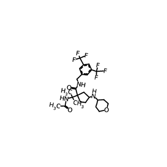 CC(=O)NC(C)(C)C1(C(=O)NCc2cc(C(F)(F)F)cc(C(F)(F)F)c2)CCC(NC2CCOCC2)C1